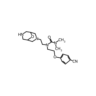 CN(C)C(=O)N(CCOc1ccc(C#N)cc1)CCN1CC2CNCC(C1)O2